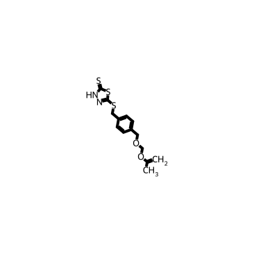 C=C(C)OCOCc1ccc(CSc2n[nH]c(=S)s2)cc1